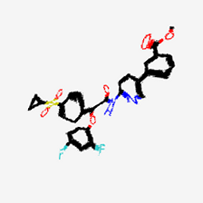 COC(=O)c1cccc(-c2ccc(NC(=O)C(Oc3ccc(F)cc3F)c3ccc(S(=O)(=O)C4CC4)cc3)nc2)c1